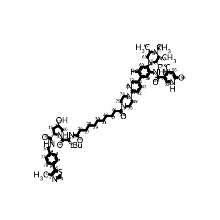 Cc1ncsc1-c1ccc(CNC(=O)[C@@H]2C[C@@H](O)CN2C(=O)C(NC(=O)CCCCCCCCCC(=O)N2CCN(c3ccc(-c4cc(NC(=O)c5c[nH]c(=O)cc5C(F)(F)F)c(N5C[C@@H](C)N(C)[C@@H](C)C5)cc4F)cn3)CC2)C(C)(C)C)cc1